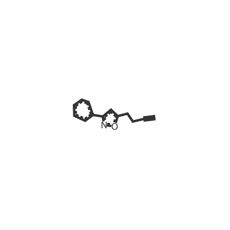 C#CCCc1cc(-c2ccccc2)no1